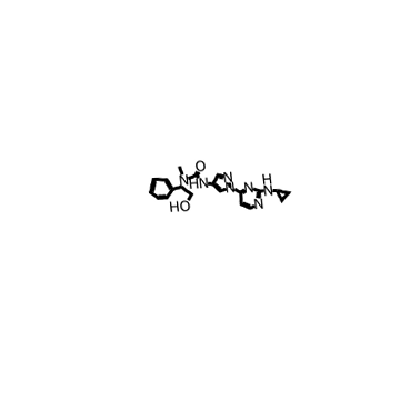 CN(C(=O)Nc1cnn(-c2ccnc(NC3CC3)n2)c1)C(CO)c1ccccc1